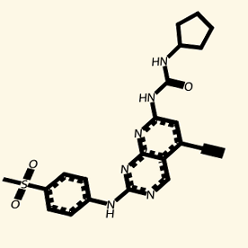 C#Cc1cc(NC(=O)NC2CCCC2)nc2nc(Nc3ccc(S(C)(=O)=O)cc3)ncc12